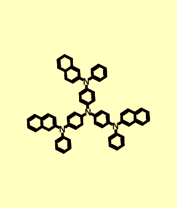 C1=CC2=CC=C(N(C3=CCC(N(c4ccc(N(C5=CCC6C=CCCC6=C5)c5ccccc5)cc4)c4ccc(N(c5ccccc5)c5ccc6ccccc6c5)cc4)C=C3)c3ccccc3)CC2C=C1